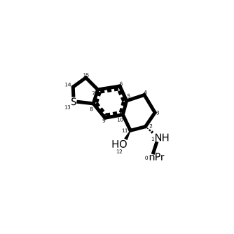 CCCN[C@H]1CCc2cc3c(cc2[C@@H]1O)SCC3